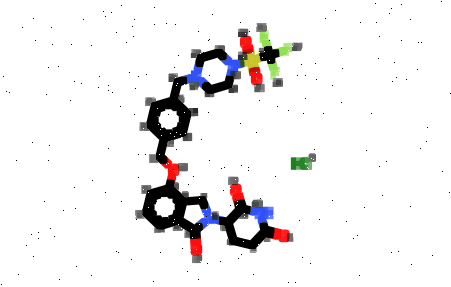 Cl.O=C1CCC(N2Cc3c(OCc4ccc(CN5CCN(S(=O)(=O)C(F)(F)F)CC5)cc4)cccc3C2=O)C(=O)N1